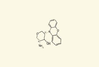 N[C@@H]1COC[C@H](N2c3ccccc3Oc3ccccc32)C1O